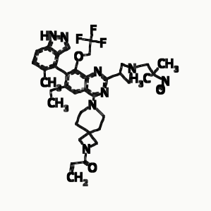 C=CC(=O)N1CC2(CCN(c3nc(C4CN(CC(C)(C)N=O)C4)nc4c(OCC(F)(F)F)c(-c5c(C)ccc6[nH]ncc56)c(CC)cc34)CC2)C1